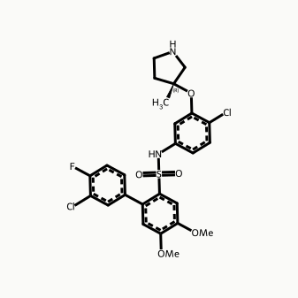 COc1cc(-c2ccc(F)c(Cl)c2)c(S(=O)(=O)Nc2ccc(Cl)c(O[C@]3(C)CCNC3)c2)cc1OC